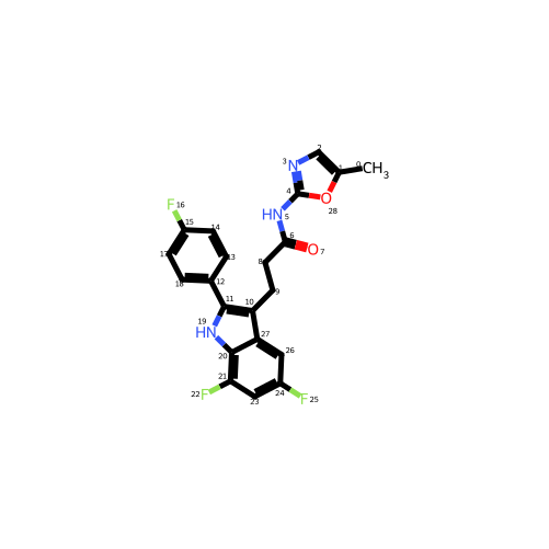 Cc1cnc(NC(=O)CCc2c(-c3ccc(F)cc3)[nH]c3c(F)cc(F)cc23)o1